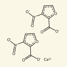 O=C([O-])c1occc1[N+](=O)[O-].O=C([O-])c1occc1[N+](=O)[O-].[Ca+2]